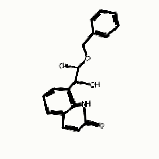 O=c1ccc2cccc(C(O)[C@@H](Cl)OCc3ccccc3)c2[nH]1